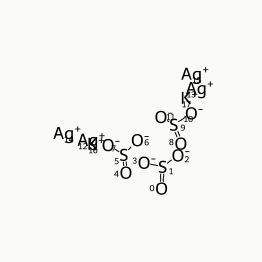 O=S([O-])[O-].O=S([O-])[O-].O=S([O-])[O-].[Ag+].[Ag+].[Ag+].[Ag+].[K+].[K+]